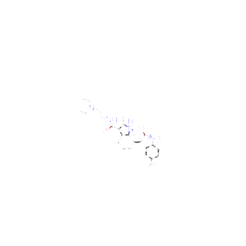 CCN(CC)CCNC(=O)c1c(C)[nH]c2c1CCC/C2=C1/C(=O)Nc2ccc(Cl)cc21